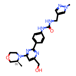 C[C@H]1COCCN1c1cc(CO)nc(-c2ccc(NC(=O)NCc3cnn(C)c3)cc2)n1